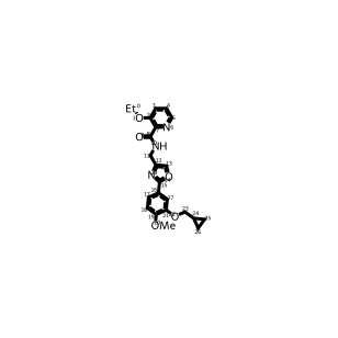 CCOc1cccnc1C(=O)NCc1coc(-c2ccc(OC)c(OCC3CC3)c2)n1